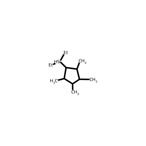 CC[SiH](CC)C1C(C)C(C)C(C)C1C